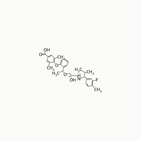 Cc1ccc(C(NC[C@H](O)COC(C)c2ccccc2Oc2c(C)cc(C(=O)O)cc2C)C(C)C)cc1F